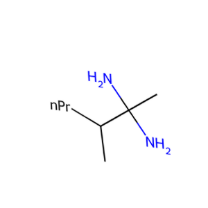 CCCC(C)C(C)(N)N